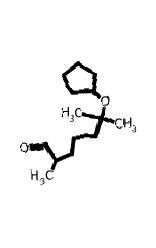 CC(C=O)CCCC(C)(C)OC1CCCC1